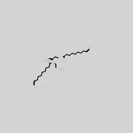 CCCCCCCC/C=C\CCCCCCCC(=O)OCCc1c[nH]c(CCCCCCC/C=C\CCCCCCCC)[n+]1CCO.[Cl-]